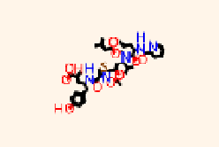 CCCC(NC(=O)C1CCCCN1C)C(=O)N(COC(=O)CC(C)C)[C@H](CC(OC(C)=O)c1nc(C(=O)NC(Cc2ccc(O)cc2)CC(C)C(=O)O)cs1)C(C)C